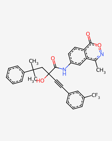 Cc1noc(=O)c2ccc(NC(=O)C(O)(C#Cc3cccc(C(F)(F)F)c3)CC(C)(C)c3ccccc3)cc12